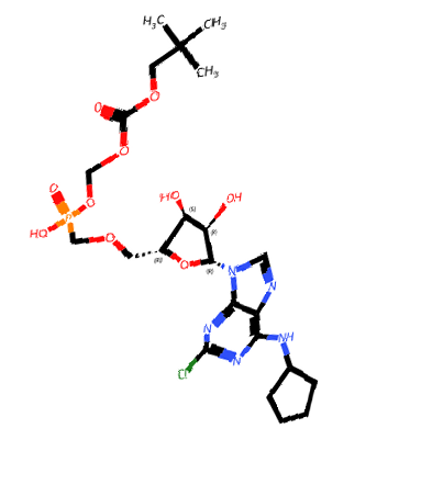 CC(C)(C)COC(=O)OCOP(=O)(O)COC[C@H]1O[C@@H](n2cnc3c(NC4CCCC4)nc(Cl)nc32)[C@H](O)[C@@H]1O